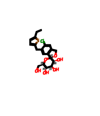 CCc1ccc(Cc2cc3c(cc2Cl)CO[C@]32O[C@H](CO)[C@@H](O)[C@H](O)[C@H]2O)s1